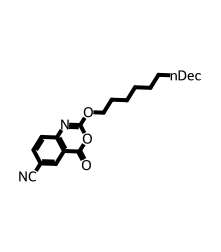 CCCCCCCCCCCCCCCCOc1nc2ccc(C#N)cc2c(=O)o1